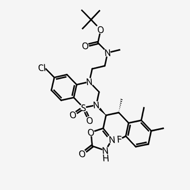 Cc1ccc(F)c([C@@H](C)[C@@H](c2n[nH]c(=O)o2)N2CN(CCN(C)C(=O)OC(C)(C)C)c3cc(Cl)ccc3S2(=O)=O)c1C